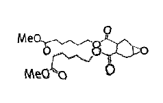 COC(=O)CCCCCOC(=O)C1CC2OC2CC1C(=O)OCCCCCC(=O)OC